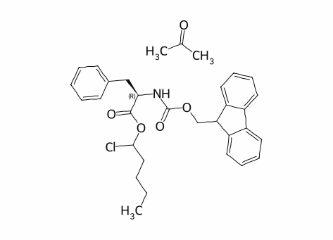 CC(C)=O.CCCCC(Cl)OC(=O)[C@@H](Cc1ccccc1)NC(=O)OCC1c2ccccc2-c2ccccc21